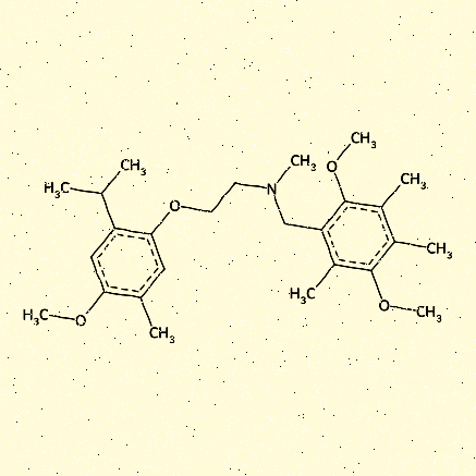 COc1cc(C(C)C)c(OCCN(C)Cc2c(C)c(OC)c(C)c(C)c2OC)cc1C